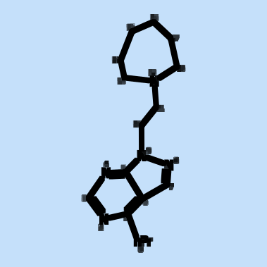 [CH2]CCc1ncnc2c1cnn2CCN1CCCCCC1